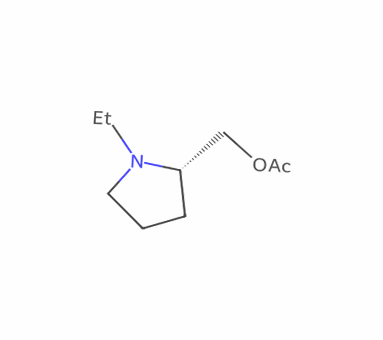 CCN1CCC[C@H]1COC(C)=O